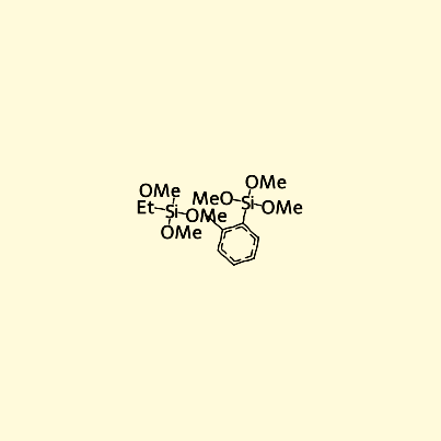 CC[Si](OC)(OC)OC.CO[Si](OC)(OC)c1ccccc1C